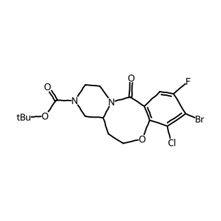 CC(C)(C)OC(=O)N1CCN2C(=O)c3cc(F)c(Br)c(Cl)c3OCCC2C1